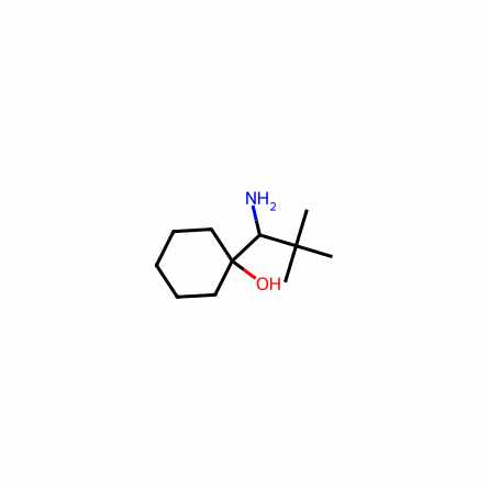 CC(C)(C)C(N)C1(O)CCCCC1